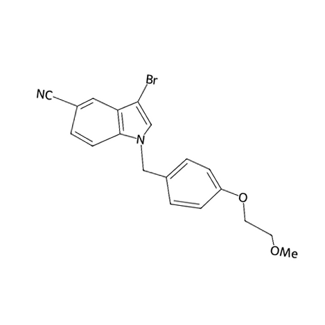 COCCOc1ccc(Cn2cc(Br)c3cc(C#N)ccc32)cc1